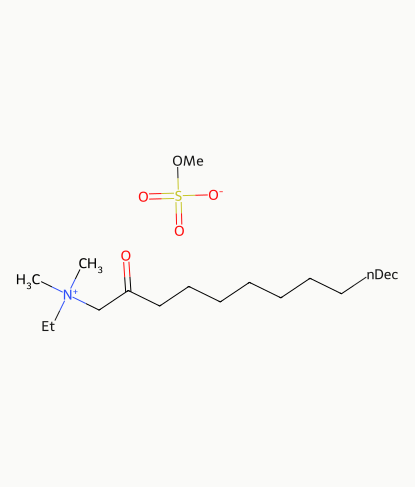 CCCCCCCCCCCCCCCCCC(=O)C[N+](C)(C)CC.COS(=O)(=O)[O-]